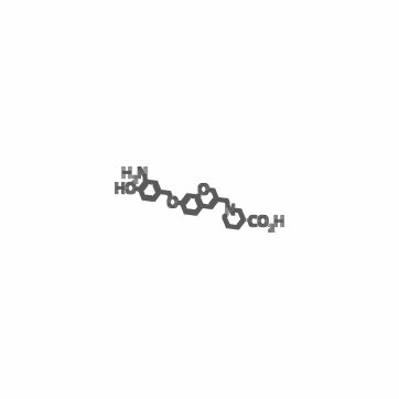 Nc1cc(COc2ccc3c(c2)OCC(CN2CCC[C@@H](C(=O)O)C2)=C3)ccc1O